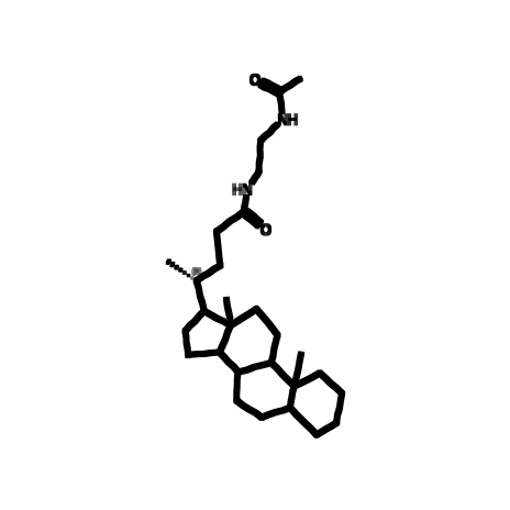 CC(=O)NCCNC(=O)CC[C@@H](C)C1CCC2C3CCC4CCCCC4(C)C3CCC21C